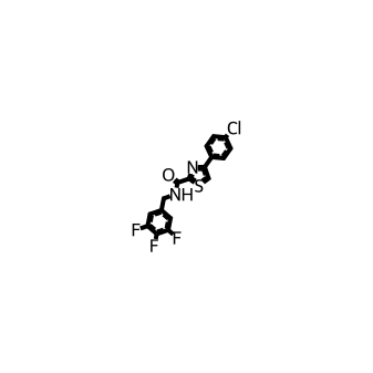 O=C(NCc1cc(F)c(F)c(F)c1)c1nc(-c2ccc(Cl)cc2)cs1